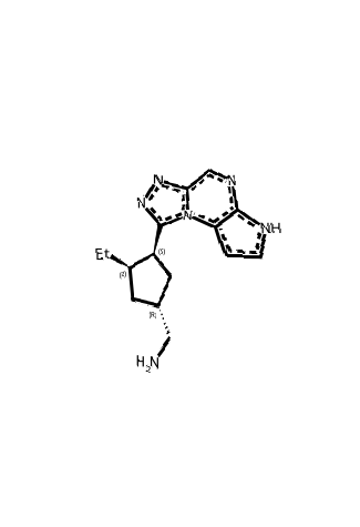 CC[C@@H]1C[C@@H](CN)C[C@@H]1c1nnc2cnc3[nH]ccc3n12